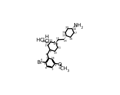 COc1ccc(Br)c(CC2CCN(CC[C@H]3CC[C@@H](N)CC3)CC2)c1.Cl.Cl